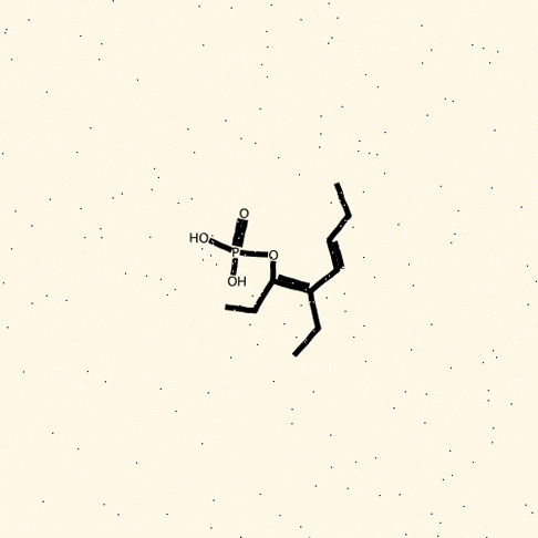 CCC=CC(CC)=C(CC)OP(=O)(O)O